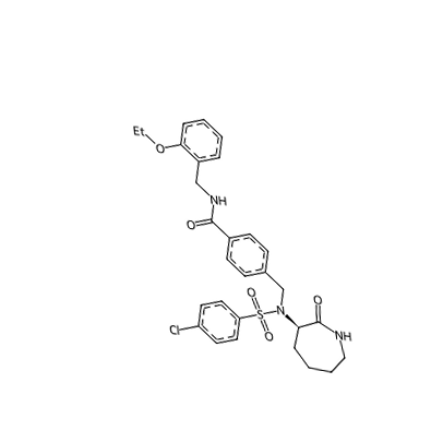 CCOc1ccccc1CNC(=O)c1ccc(CN([C@@H]2CCCCNC2=O)S(=O)(=O)c2ccc(Cl)cc2)cc1